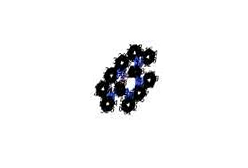 c1ccc(N2c3cc(cc(-n4c5ccccc5c5ccccc54)c3)B(n3c4ccccc4c4ccccc43)c3cc(cc(-n4c5ccccc5c5ccccc54)c3)N(c3ccccc3)c3ccccc32)cc1